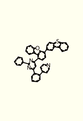 c1ccc(-c2nc(-c3ccccc3-c3ccncc3)cc(-c3ccc(-c4ccc5sc6ccccc6c5c4)c4oc5ccccc5c34)n2)cc1